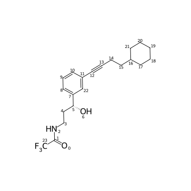 O=C(NCC[C@@H](O)c1cccc(C#CCCC2CCCCC2)c1)C(F)(F)F